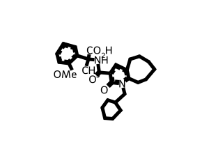 COc1ccccc1C(C)(NC(=O)c1cc2c(n(CC3CCCCC3)c1=O)CCCCCC2)C(=O)O